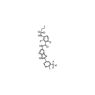 CCCS(=O)(=O)Nc1ccc(F)c(C(=O)Nc2cnc3[nH]c(-c4ccc(C)c(C(F)(F)F)c4)nc3c2)c1F